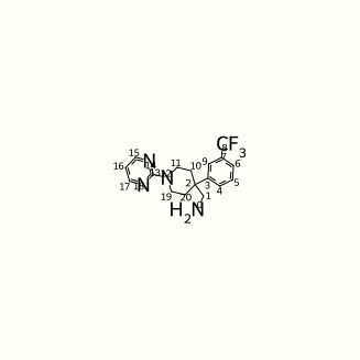 NCC1(c2cccc(C(F)(F)F)c2)CCN(c2ncccn2)CC1